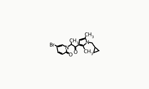 Cc1cc(C(=O)C(C)n2cc(Br)ccc2=O)c(C)n1CC1CC1